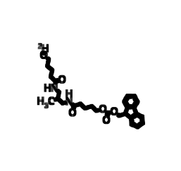 [2H]OCCCCC(=O)NCC(C)CNC(=O)CCCCOC(=O)OCC1c2ccccc2-c2ccccc21